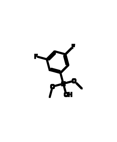 CO[Si](O)(OC)c1cc(F)cc(F)c1